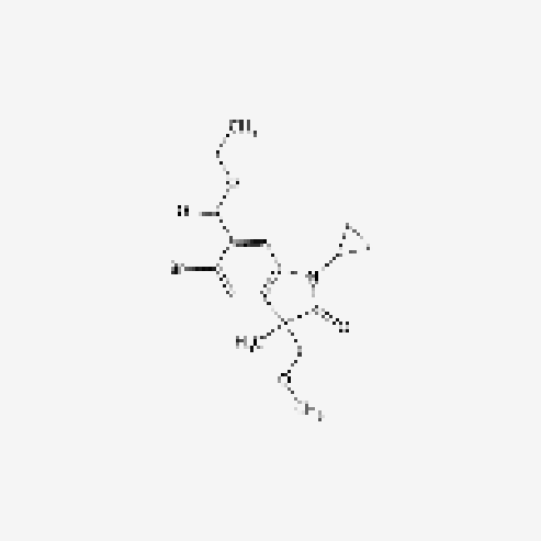 CCOC(=O)c1cc2c(cc1Br)C(C)(COC)C(=O)N2C1CC1